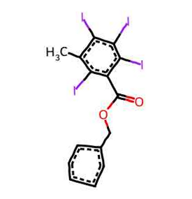 Cc1c(I)c(I)c(I)c(C(=O)OCc2ccccc2)c1I